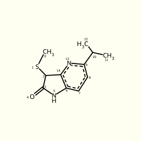 CSC1C(=O)Nc2ccc(C(C)C)nc21